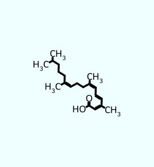 CC(C=CC=C(C)CCC=C(C)CCCC(C)C)=CC(=O)O